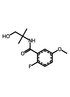 COc1ccc(F)c(C(=O)NC(C)(C)CO)c1